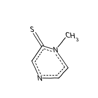 Cn1ccncc1=S